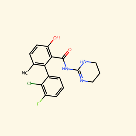 N#Cc1ccc(O)c(C(=O)NC2=NCCCN2)c1-c1cccc(F)c1Cl